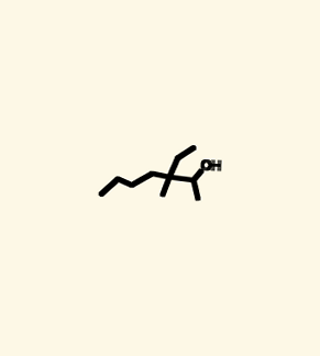 CCCCC(C)(CC)C(C)O